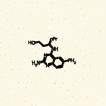 CCCC(CCO)Nc1nc(N)nc2ccc(P)cc12